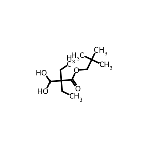 CCC(CC)(C(=O)OCC(C)(C)C)C(O)O